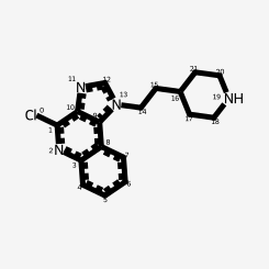 Clc1nc2ccccc2c2c1ncn2CCC1CCNCC1